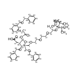 CC(=O)OC1O[C@](COCCOCCOCCO[Si](C(C)C)(C(C)C)C(C)C)(COCc2ccccc2)[C@@H](OCc2ccccc2)[C@H]1CC(=O)O.c1ccc(COCc2ccccc2)cc1